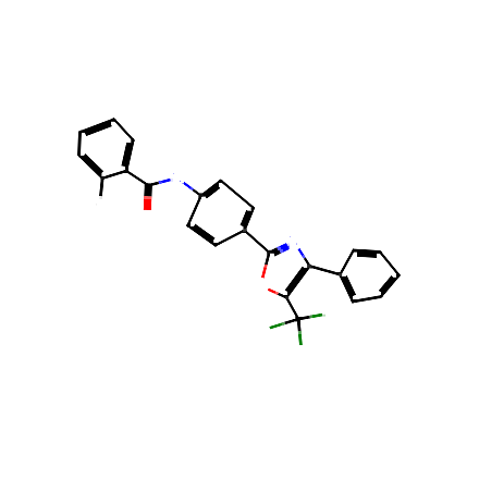 Cc1ccccc1C(=O)Nc1ccc(-c2nc(-c3ccccc3)c(C(F)(F)F)o2)cc1